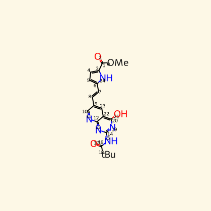 COC(=O)c1ccc(C=Cc2cnc3nc(NC(=O)C(C)(C)C)nc(O)c3c2)[nH]1